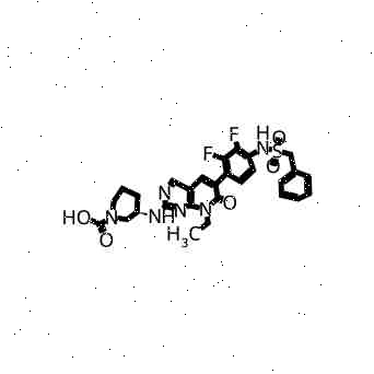 CCn1c(=O)c(-c2ccc(NS(=O)(=O)Cc3ccccc3)c(F)c2F)cc2cnc(N[C@H]3CCCN(C(=O)O)C3)nc21